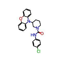 O=C(Nc1ccc(Cl)cc1)N1CCCC(N2c3ccccc3Oc3ccccc32)C1